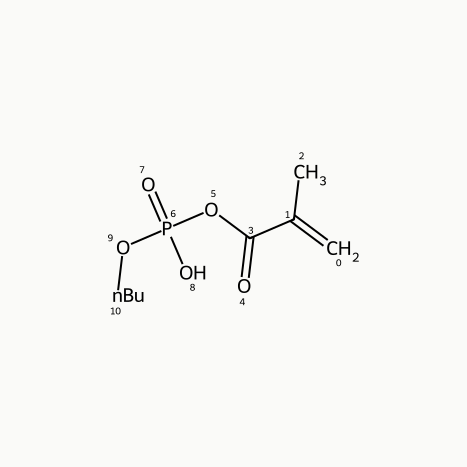 C=C(C)C(=O)OP(=O)(O)OCCCC